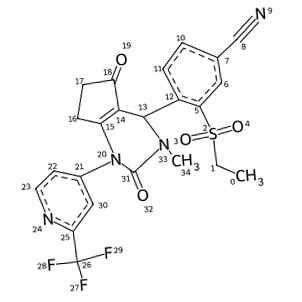 CCS(=O)(=O)c1cc(C#N)ccc1C1C2=C(CCC2=O)N(c2ccnc(C(F)(F)F)c2)C(=O)N1C